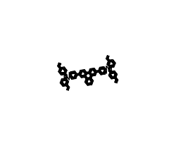 C=Cc1ccc(N(c2ccc(-c3ccc4c5ccc(-c6ccc(N(c7ccc(C=C)cc7)c7cccc(CC)c7)cc6)cc5c5ccccc5c4c3)cc2)c2cccc(CC)c2)cc1